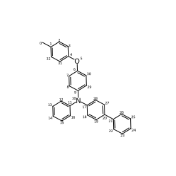 Cc1ccc(Oc2ccc(N(c3ccccc3)c3ccc(-c4ccccc4)cc3)cc2)cc1